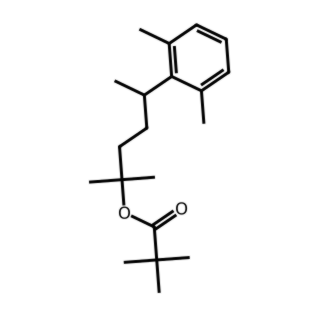 Cc1cccc(C)c1C(C)CCC(C)(C)OC(=O)C(C)(C)C